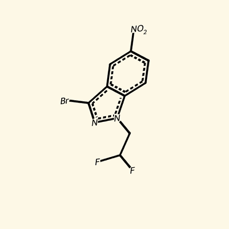 O=[N+]([O-])c1ccc2c(c1)c(Br)nn2CC(F)F